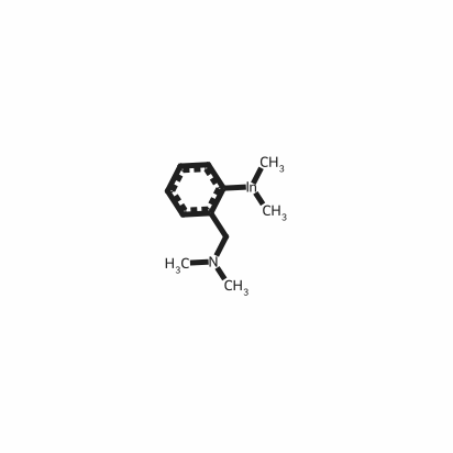 CN(C)Cc1cccc[c]1[In]([CH3])[CH3]